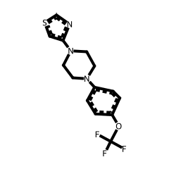 FC(F)(F)Oc1ccc(N2CCN(c3cs[c]n3)CC2)cc1